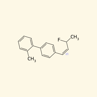 Cc1ccccc1-c1ccc(/C=C\C(C)F)cc1